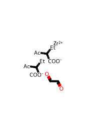 CCC(C(C)=O)C(=O)[O-].CCC(C(C)=O)C(=O)[O-].O=CC=O.[Zr+2]